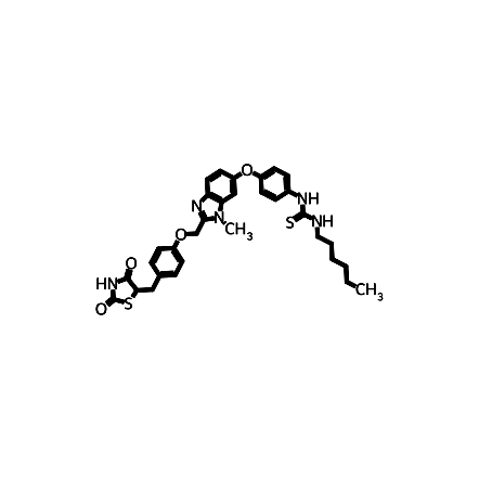 CCCCCCNC(=S)Nc1ccc(Oc2ccc3nc(COc4ccc(CC5SC(=O)NC5=O)cc4)n(C)c3c2)cc1